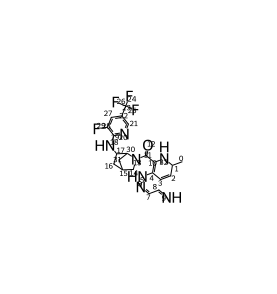 CC1C=CC(N/N=C\C=N)=C(C(=O)N2CC3CC(Nc4ncc(C(F)(F)F)cc4F)C2C3)N1